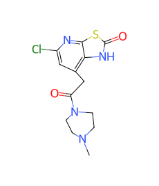 CN1CCN(C(=O)Cc2cc(Cl)nc3sc(=O)[nH]c23)CC1